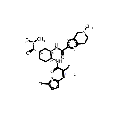 CN1CCc2nc(C(=O)N[C@@H]3C[C@@H](C(=O)N(C)C)CC[C@@H]3NC(=O)/C(F)=C\c3ccc(Cl)s3)sc2C1.Cl